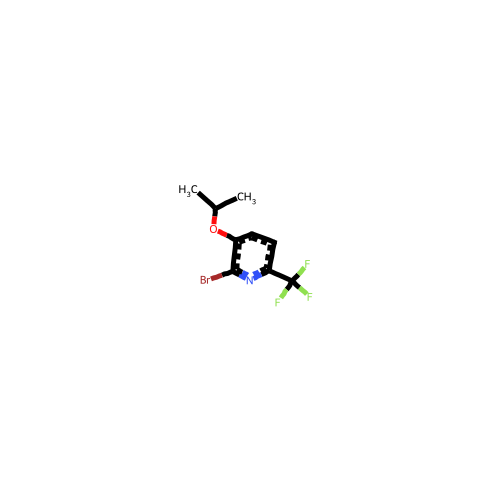 CC(C)Oc1ccc(C(F)(F)F)nc1Br